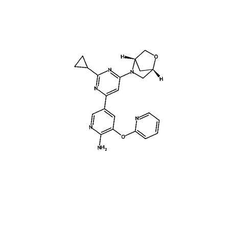 Nc1ncc(-c2cc(N3C[C@@H]4C[C@H]3CO4)nc(C3CC3)n2)cc1Oc1ccccn1